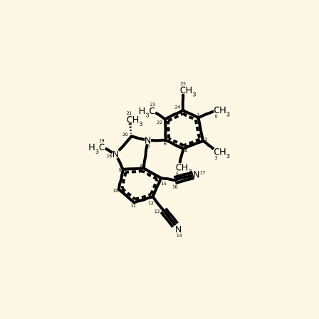 Cc1c(C)c(C)c(N2c3c(ccc(C#N)c3C#N)N(C)[C@@H]2C)c(C)c1C